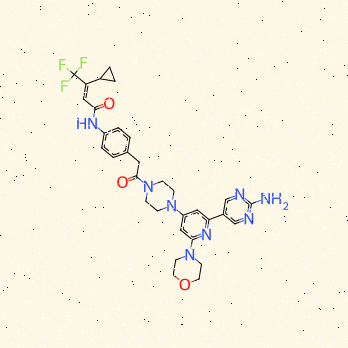 Nc1ncc(-c2cc(N3CCN(C(=O)Cc4ccc(NC(=O)/C=C(\C5CC5)C(F)(F)F)cc4)CC3)cc(N3CCOCC3)n2)cn1